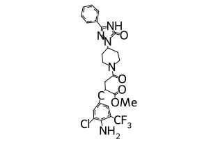 COC(=O)C(CC(=O)N1CCC(n2nc(-c3ccccc3)[nH]c2=O)CC1)Cc1cc(Cl)c(N)c(C(F)(F)F)c1